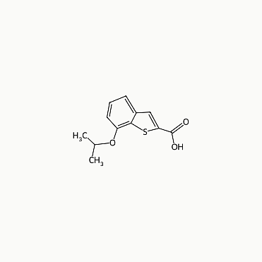 CC(C)Oc1cccc2cc(C(=O)O)sc12